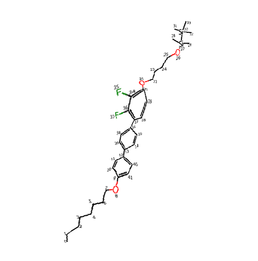 CCCCCCCCOc1ccc(-c2ccc(-c3ccc(OCCCCO[Si](C)(C)[Si](C)(C)C)c(F)c3F)cc2)cc1